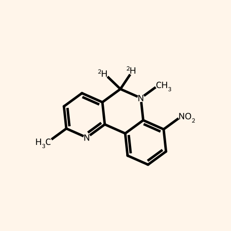 [2H]C1([2H])c2ccc(C)nc2-c2cccc([N+](=O)[O-])c2N1C